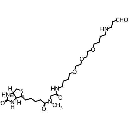 CN(CC(=O)NCCCCOCCOCCOCCCCNCCC=O)C(=O)CCCC[C@@H]1SC[C@@H]2NC(=O)N[C@@H]21